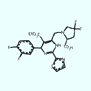 CCOC(=O)C1=C(CN2CC(F)(F)CC2C(=O)O)NC(c2nccs2)=NC1c1ccc(F)c(F)c1